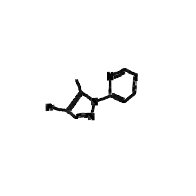 Cc1c(C(C)C)cnn1-c1ccccn1